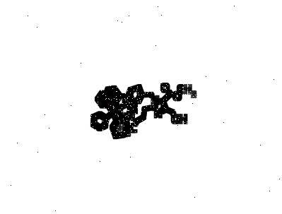 CCCCc1nc(CO)c(C(=O)OC)n1Cc1ccc(-c2ccccc2C2(C(c3ccccc3)(c3ccccc3)c3ccccc3)N=NN=N2)cc1